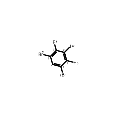 Fc1c(Br)cc(Br)c(F)c1I